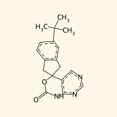 CC(C)(C)c1ccc2c(c1)CC1(C2)OC(=O)Nc2ncncc21